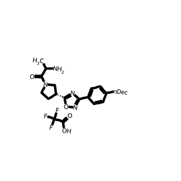 CCCCCCCCCCc1ccc(-c2noc([C@@H]3CCN(C(=O)C(C)N)C3)n2)cc1.O=C(O)C(F)(F)F